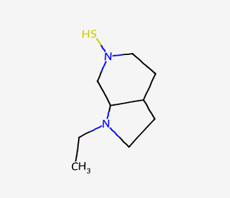 CCN1CCC2CCN(S)CC21